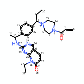 C=CC(=O)N1CCN(C(CC)c2ccc(C(C)Nc3ncc4ccc(=O)n(CC)c4n3)cc2)CC1